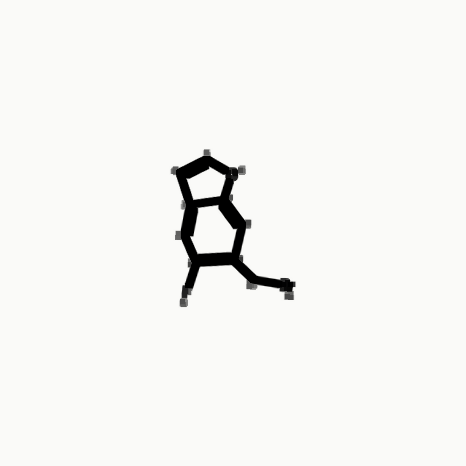 Fc1cc2ccoc2cc1CBr